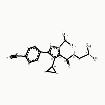 CC(C)n1nc(-c2ccc(C#N)cc2)c(C2CC2)c1C(=O)NC[C@@H](C)O